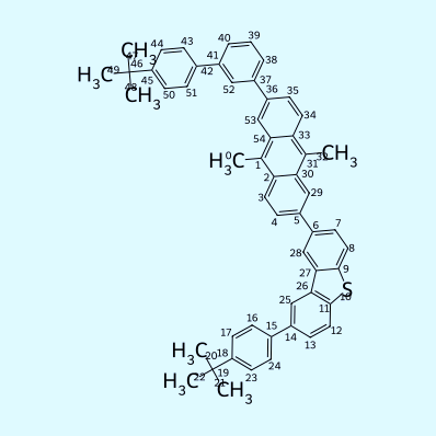 Cc1c2ccc(-c3ccc4sc5ccc(-c6ccc(C(C)(C)C)cc6)cc5c4c3)cc2c(C)c2ccc(-c3cccc(-c4ccc(C(C)(C)C)cc4)c3)cc12